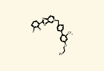 CC(C)CCOc1ccc(-c2ccc(Cn3ccc4nc(-c5cccc(F)c5F)nc-4c3)cc2)c(C(F)(F)F)c1